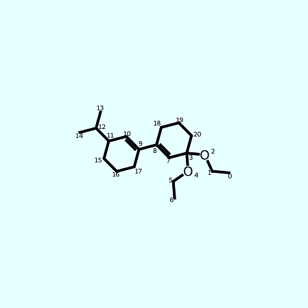 CCOC1(OCC)C=C(C2=CC(C(C)C)CCC2)CCC1